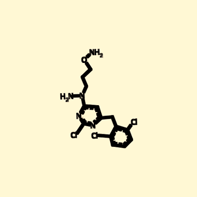 NOCCCN(N)c1cc(Cc2c(Cl)cccc2Cl)nc(Cl)n1